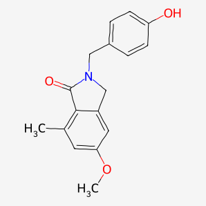 COc1cc(C)c2c(c1)CN(Cc1ccc(O)cc1)C2=O